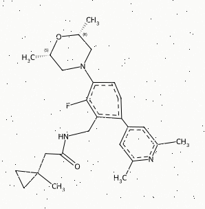 Cc1cc(-c2ccc(N3C[C@@H](C)O[C@@H](C)C3)c(F)c2CNC(=O)CC2(C)CC2)cc(C)n1